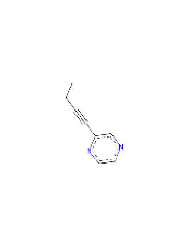 CCC#Cc1cnccn1